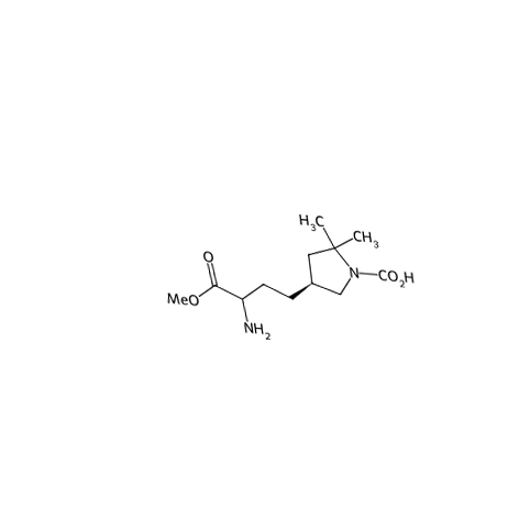 COC(=O)C(N)CC[C@@H]1CN(C(=O)O)C(C)(C)C1